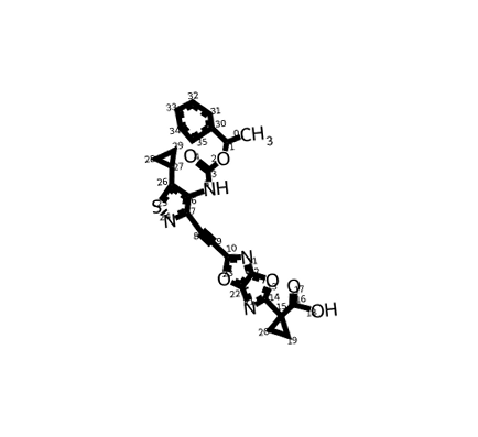 CC(OC(=O)Nc1c(C#Cc2nc3oc(C4(C(=O)O)CC4)nc3o2)nsc1C1CC1)c1ccccc1